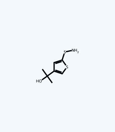 CC(C)(O)c1csc(SN)c1